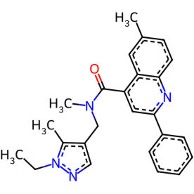 CCn1ncc(CN(C)C(=O)c2cc(-c3ccccc3)nc3ccc(C)cc23)c1C